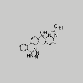 CCOc1cn2c([C@H](O)c3ccc(-c4ccccc4-c4nnn[nH]4)cc3)c(C)cc(C)c2n1